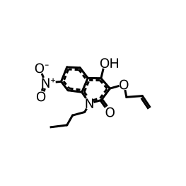 C=CCOc1c(O)c2ccc([N+](=O)[O-])cc2n(CCCC)c1=O